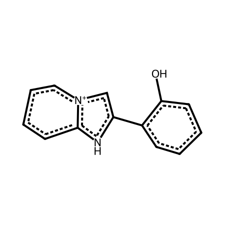 Oc1ccccc1-c1c[n+]2ccccc2[nH]1